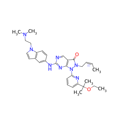 C/C=C\Cn1c(=O)c2cnc(Nc3ccc4c(ccn4CCN(C)C)c3)nc2n1-c1cccc(C(C)(C)OCC)n1